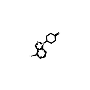 O=C1CCC(n2ncc3c(Br)cccc32)CC1